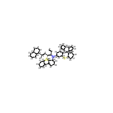 C=C/C(=C\C=C(/C)c1cccc2ccccc12)N(c1ccc2c(c1)Sc1ccccc1[Si]21c2ccccc2-c2ccccc21)c1cccc2c1sc1ccccc12